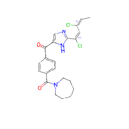 C/C=C(Cl)\C=C(\Cl)c1ncc(C(=O)c2ccc(C(=O)N3CCCCCC3)cc2)[nH]1